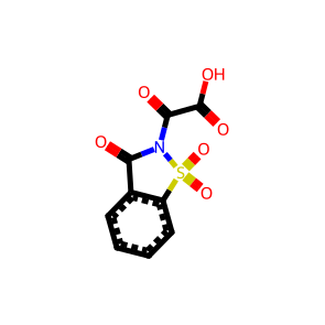 O=C(O)C(=O)N1C(=O)c2ccccc2S1(=O)=O